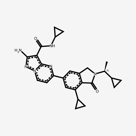 C[C@@H](C1CC1)N1Cc2cc(-c3ccn4nc(N)c(C(=O)NC5CC5)c4n3)cc(C3CC3)c2C1=O